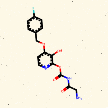 NCC(=O)NC(=O)Oc1nccc(OCc2ccc(F)cc2)c1O